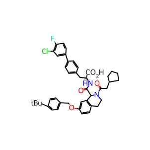 CC(C)(C)c1ccc(COc2ccc3c(c2)C(C(=O)N[C@@H](Cc2ccc(-c4ccc(F)c(Cl)c4)cc2)C(=O)O)N(C(=O)CC2CCCC2)CC3)cc1